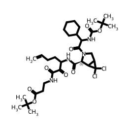 C=CCCC(NC(=O)[C@@H]1C2C(CN1C(=O)C(NC(=O)OC(C)(C)C)C1CCCCC1)C2(Cl)Cl)C(=O)C(=O)NCCC(=O)OC(C)(C)C